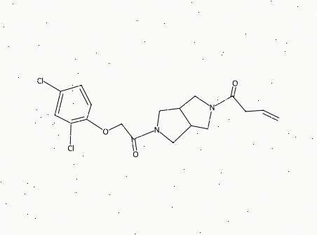 C=CCC(=O)N1CC2CN(C(=O)COc3ccc(Cl)cc3Cl)CC2C1